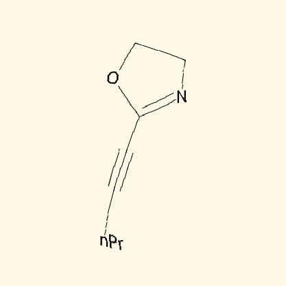 CCCC#CC1=NCCO1